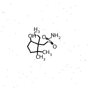 CCC1(CS(N)(=O)=O)C(O)CCC1(C)C